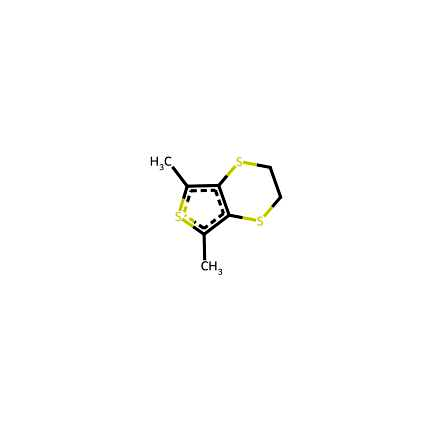 Cc1sc(C)c2c1SCCS2